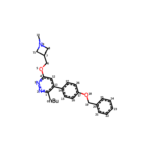 CCCCc1nnc(OCC2CN(C)C2)cc1-c1ccc(OCc2ccccc2)cc1